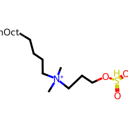 CCCCCCCCCCCC[N+](C)(C)CCCO[SH](=O)=O